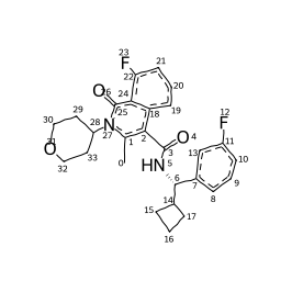 Cc1c(C(=O)N[C@H](c2cccc(F)c2)C2CCC2)c2cccc(F)c2c(=O)n1C1CCOCC1